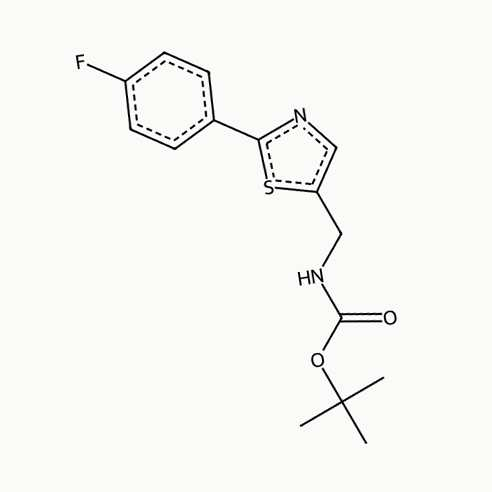 CC(C)(C)OC(=O)NCc1cnc(-c2ccc(F)cc2)s1